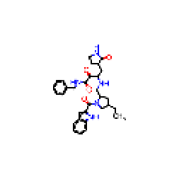 CCC1CC(CNC(CC2CCNC2=O)C(=O)C(=O)NCc2ccccc2)N(C(=O)c2cc3ccccc3[nH]2)C1